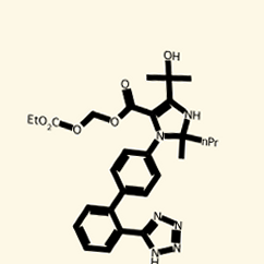 CCCC1(C)NC(C(C)(C)O)=C(C(=O)OCOC(=O)OCC)N1c1ccc(-c2ccccc2-c2nnn[nH]2)cc1